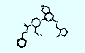 CN1CCCC1COc1nc2c(c(N3CCN(C(=O)OCc4ccccc4)C(CC#N)C3)n1)CNC2